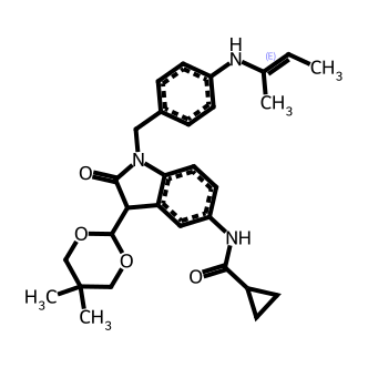 C/C=C(\C)Nc1ccc(CN2C(=O)C(C3OCC(C)(C)CO3)c3cc(NC(=O)C4CC4)ccc32)cc1